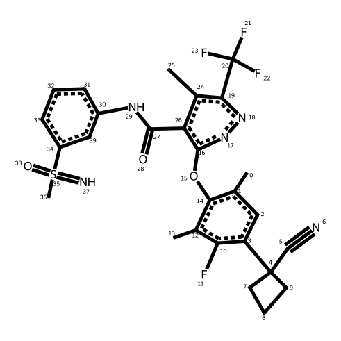 Cc1cc(C2(C#N)CCC2)c(F)c(C)c1Oc1nnc(C(F)(F)F)c(C)c1C(=O)Nc1cccc(S(C)(=N)=O)c1